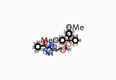 [CH2][C@H](COC(c1ccccc1)(c1ccc(OC)cc1)c1ccc(OC)cc1)OCCn1cnc2c(C(=O)c3ccccc3)ncnc21